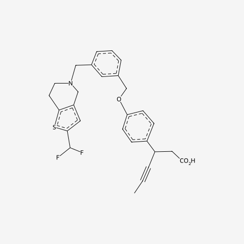 CC#CC(CC(=O)O)c1ccc(OCc2cccc(CN3CCc4sc(C(F)F)cc4C3)c2)cc1